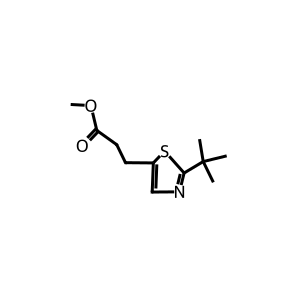 COC(=O)CCc1cnc(C(C)(C)C)s1